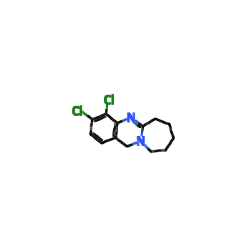 Clc1ccc2c(c1Cl)N=C1CCCCCN1C2